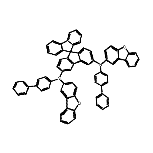 c1ccc(-c2ccc(N(c3ccc4c(c3)-c3cc(N(c5ccc(-c6ccccc6)cc5)c5ccc6oc7ccccc7c6c5)ccc3C43c4ccccc4-c4ccccc43)c3ccc4oc5ccccc5c4c3)cc2)cc1